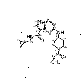 C=CC(=O)N1CCC(Nc2cnc3[nH]cc(C(=O)NCC4CC4)c3n2)CC1